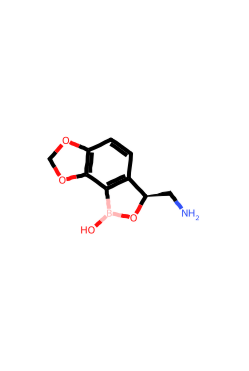 NC[C@H]1OB(O)c2c1ccc1c2OCO1